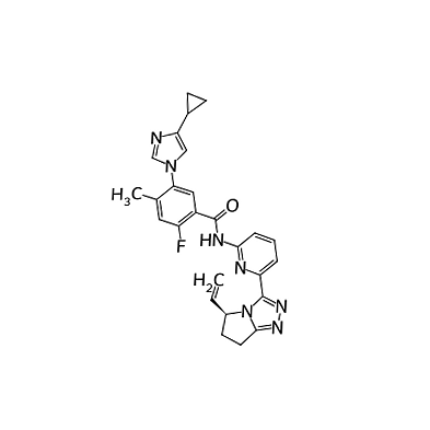 C=C[C@@H]1CCc2nnc(-c3cccc(NC(=O)c4cc(-n5cnc(C6CC6)c5)c(C)cc4F)n3)n21